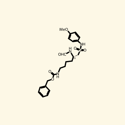 COc1ccc(NS(=O)(=O)C[C@H](CCCCNC(=O)OCc2ccccc2)NC=O)cc1